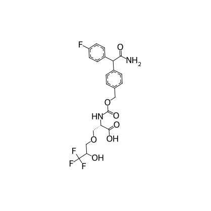 NC(=O)C(c1ccc(F)cc1)c1ccc(COC(=O)N[C@@H](COCC(O)C(F)(F)F)C(=O)O)cc1